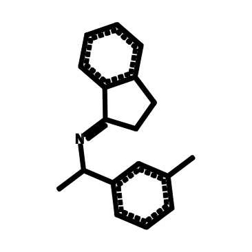 Cc1cccc(C(C)/N=C2\CCc3ccccc32)c1